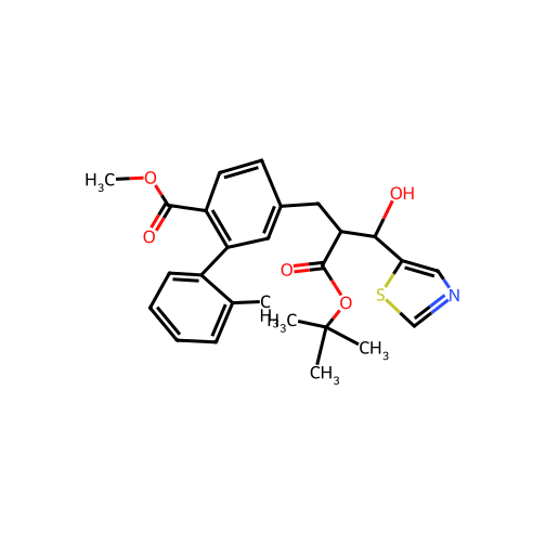 COC(=O)c1ccc(CC(C(=O)OC(C)(C)C)C(O)c2cncs2)cc1-c1ccccc1C